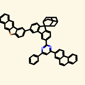 c1ccc(-c2cc(-c3ccc4c(ccc5ccccc54)c3)nc(-c3ccc4c(c3)-c3cc(-c5ccc6sc7cc8ccccc8cc7c6c5)ccc3C43C4CC5CC(C4)CC3C5)n2)cc1